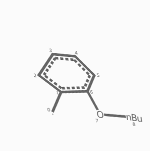 [CH2]c1ccccc1OCCCC